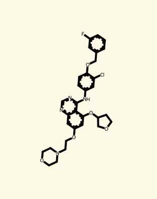 Fc1cccc(COc2ccc(Nc3ncnc4cc(OCCN5CCOCC5)cc(OC5CCOC5)c34)cc2Cl)c1